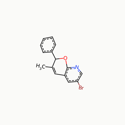 CC1=Cc2cc(Br)cnc2OC1c1ccccc1